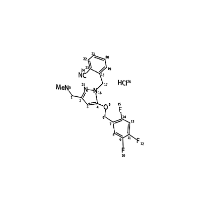 CNCc1cc(OCc2cc(F)c(F)cc2F)n(Cc2ccccc2C#N)n1.Cl